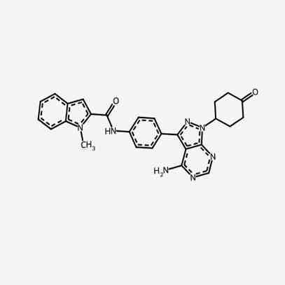 Cn1c(C(=O)Nc2ccc(-c3nn(C4CCC(=O)CC4)c4ncnc(N)c34)cc2)cc2ccccc21